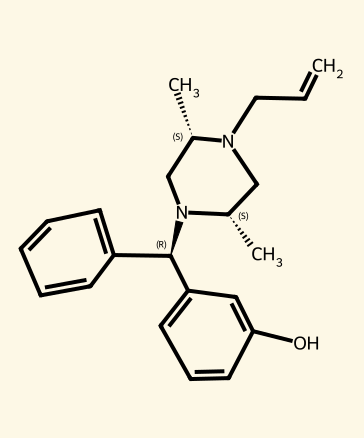 C=CCN1C[C@H](C)N([C@H](c2ccccc2)c2cccc(O)c2)C[C@@H]1C